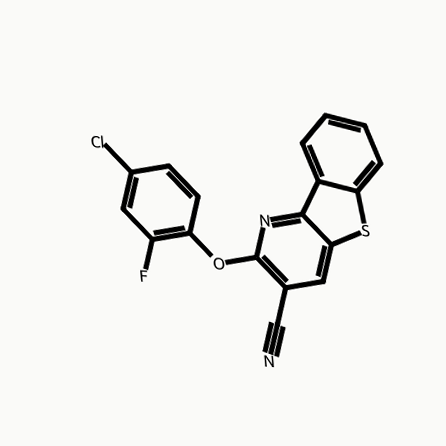 N#Cc1cc2sc3ccccc3c2nc1Oc1ccc(Cl)cc1F